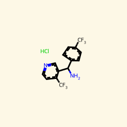 Cl.NC(c1ccc(C(F)(F)F)cc1)c1cnccc1C(F)(F)F